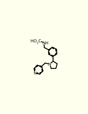 O=C(O)NCc1cccc(C2CCCN2Cc2ccncc2)c1